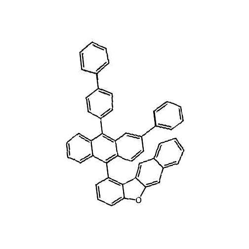 c1ccc(-c2ccc(-c3c4ccccc4c(-c4cccc5oc6cc7ccccc7cc6c45)c4ccc(-c5ccccc5)cc34)cc2)cc1